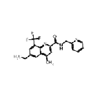 CCc1cc(C(F)(F)F)c2nc(C(=O)NCc3ccccn3)cc(C)c2c1